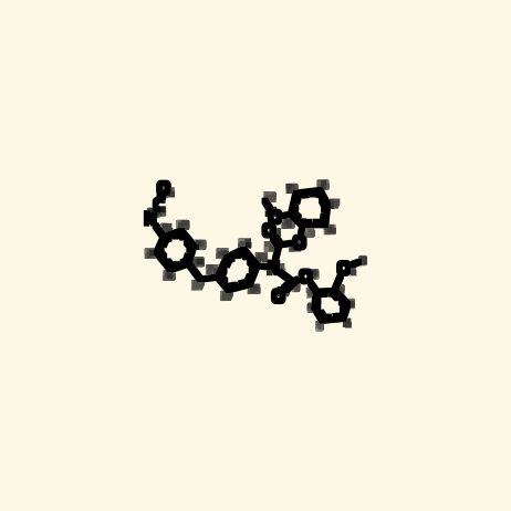 COc1ccccc1OC(=O)N(C(=O)Oc1ccccc1OC)c1ccc(Cc2ccc(N=C=O)cc2)cc1